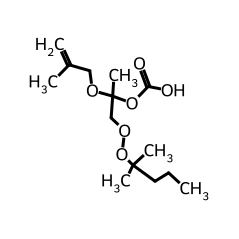 C=C(C)COC(C)(COOC(C)(C)CCC)OC(=O)O